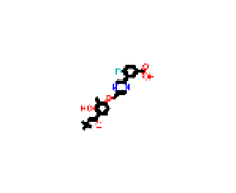 Cc1c(OCc2cnc(-c3cc(C(=O)O)ccc3F)cn2)ccc(C(=O)CC(C)(C)C)c1O